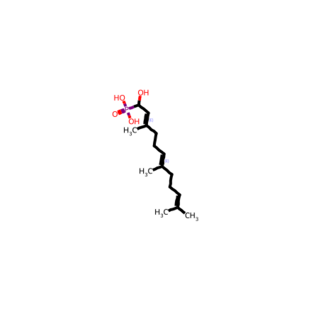 CC(C)=CCC/C(C)=C/CC/C(C)=C/C(O)P(=O)(O)O